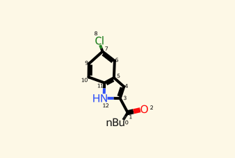 CCCCC(=O)c1cc2cc(Cl)ccc2[nH]1